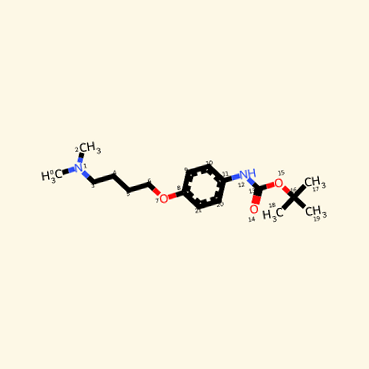 CN(C)CCCCOc1ccc(NC(=O)OC(C)(C)C)cc1